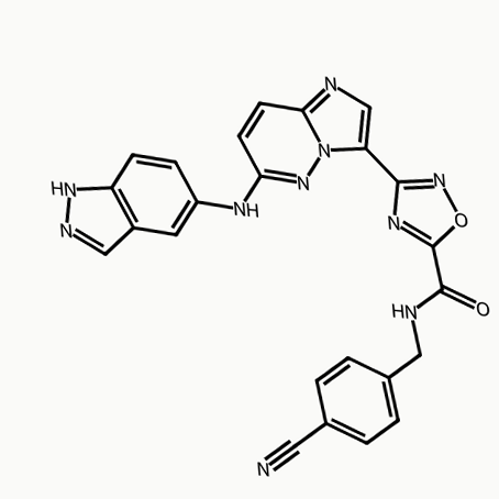 N#Cc1ccc(CNC(=O)c2nc(-c3cnc4ccc(Nc5ccc6[nH]ncc6c5)nn34)no2)cc1